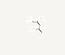 C=C/C(C)=C\C(N)=C\F